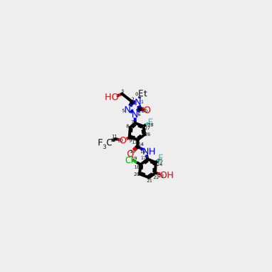 CCn1c(CO)nn(-c2cc(OCC(F)(F)F)c(C(=O)Nc3c(Cl)ccc(O)c3F)cc2F)c1=O